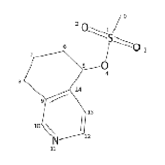 CS(=O)(=O)OC1CCCc2cnccc21